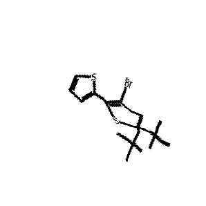 CC(C)(C)C1(C(C)(C)C)CC(Br)=C(c2cccs2)S1